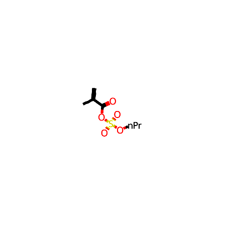 C=C(C)C(=O)OS(=O)(=O)OCCC